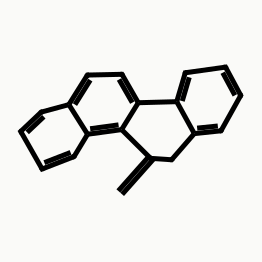 C=C1Cc2ccccc2-c2ccc3ccccc3c21